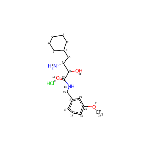 Cl.N[C@H](CC1CCCCC1)C(O)C(=O)NCc1cccc(OC(F)(F)F)c1